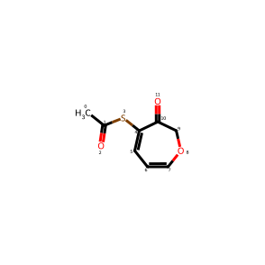 CC(=O)SC1=CC=COCC1=O